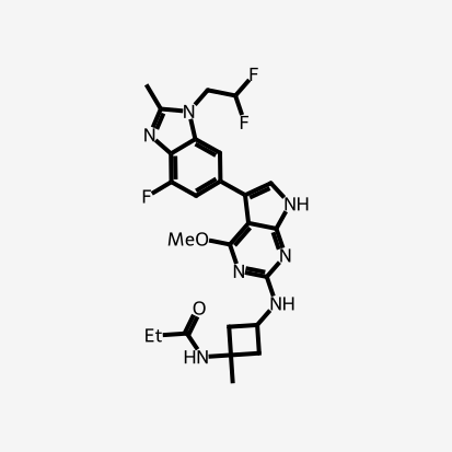 CCC(=O)NC1(C)CC(Nc2nc(OC)c3c(-c4cc(F)c5nc(C)n(CC(F)F)c5c4)c[nH]c3n2)C1